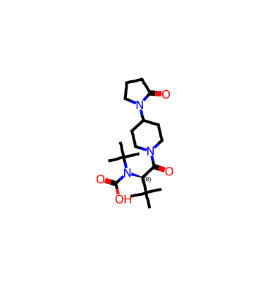 CC(C)(C)[C@H](C(=O)N1CCC(N2CCCC2=O)CC1)N(C(=O)O)C(C)(C)C